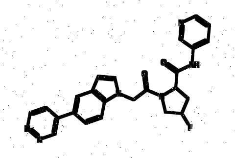 O=C(Nc1cccnc1)C1CC(F)CN1C(=O)Cn1ccc2cc(-c3ccnnc3)ccc21